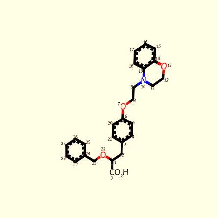 O=C(O)C(Cc1ccc(OCCN2CCOc3ccccc32)cc1)OCc1ccccc1